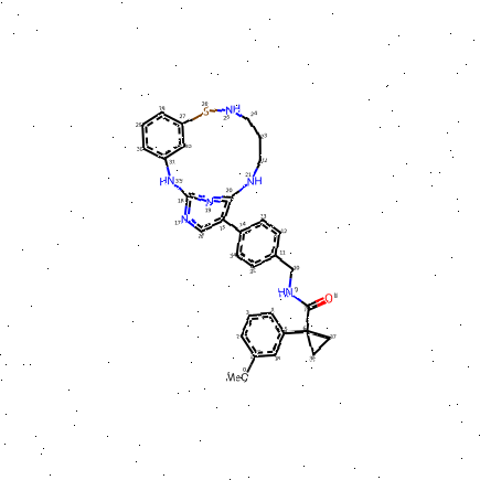 COc1cccc(C2(C(=O)NCc3ccc(-c4cnc5nc4NCCCNSc4cccc(c4)N5)cc3)CC2)c1